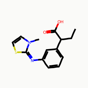 CCC(C(=O)O)c1cccc(N=c2sccn2C)c1